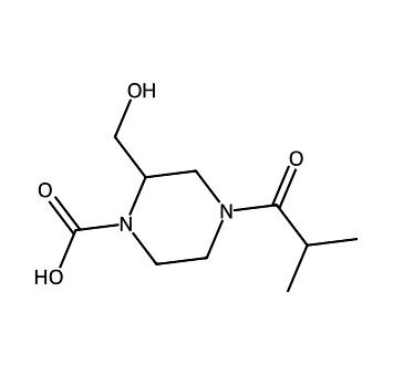 CC(C)C(=O)N1CCN(C(=O)O)C(CO)C1